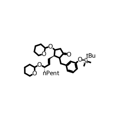 CCCCC[C@@H](/C=C/[C@H]1C(OC2CCCCO2)CC(=O)C1Cc1cccc(O[Si](C)(C)C(C)(C)C)c1)OC1CCCCO1